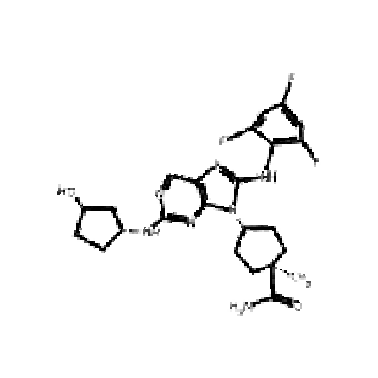 C[C@]1(C(N)=O)CC[C@H](n2c(Nc3c(F)cc(F)cc3F)nc3cnc(N[C@@H]4CC[C@@H](O)C4)nc32)CC1